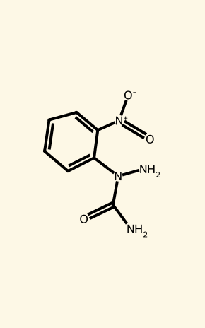 NC(=O)N(N)c1ccccc1[N+](=O)[O-]